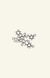 O=CC(O)(CCC(=O)N1CCOc2cc(Cl)ccc2C1)NC(=O)[C@H](CC1CCCCC1)NC(=O)OCc1cccc(Cl)c1